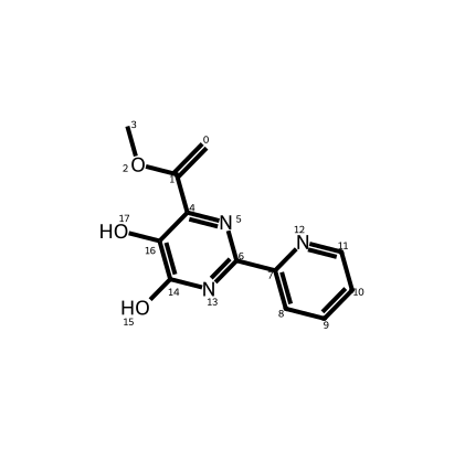 C=C(OC)c1nc(-c2ccccn2)nc(O)c1O